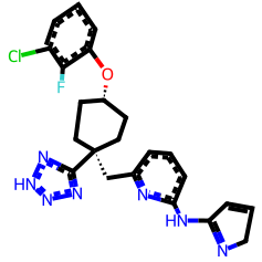 Fc1c(Cl)cccc1O[C@H]1CC[C@](Cc2cccc(NC3=NCC=C3)n2)(c2nn[nH]n2)CC1